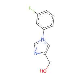 OCc1cn(-c2cccc(F)c2)cn1